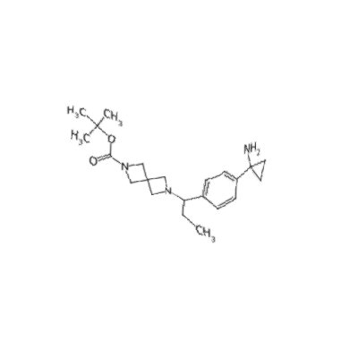 CCC(c1ccc(C2(N)CC2)cc1)N1CC2(CN(C(=O)OC(C)(C)C)C2)C1